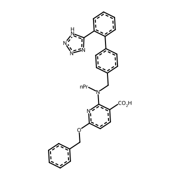 CCCN(Cc1ccc(-c2ccccc2-c2nnn[nH]2)cc1)c1nc(OCc2ccccc2)ccc1C(=O)O